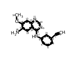 C#Cc1cccc(Nc2ncnc3cc(OC)c(N)cc23)c1